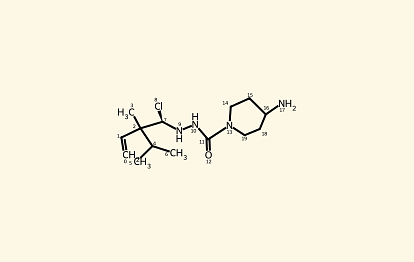 C=CC(C)(C(C)C)[C@@H](Cl)NNC(=O)N1CCC(N)CC1